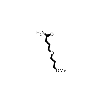 COCCCOCCCC(N)=O